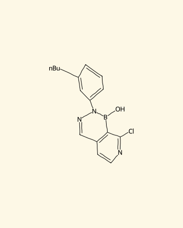 CCCCc1cccc(N2N=Cc3ccnc(Cl)c3B2O)c1